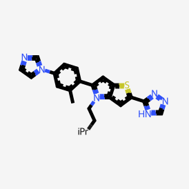 Cc1cc(-n2ccnc2)ccc1-c1cc2sc(-c3nnc[nH]3)cc2n1CCC(C)C